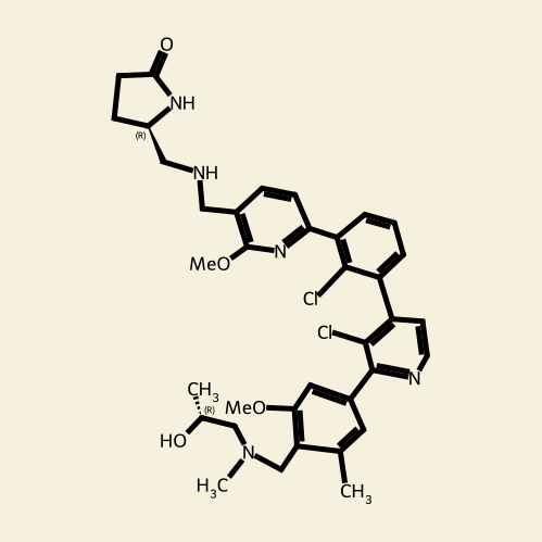 COc1cc(-c2nccc(-c3cccc(-c4ccc(CNC[C@H]5CCC(=O)N5)c(OC)n4)c3Cl)c2Cl)cc(C)c1CN(C)C[C@@H](C)O